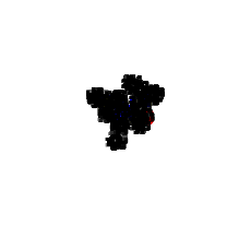 c1ccc(-c2ccc(-c3nc(-c4cc(-n5c6ccccc6c6cc7ccccc7cc65)cc5oc6ccccc6c45)nc(-c4cccc5c4c4ccccc4n5-c4ccccc4)n3)cc2)cc1